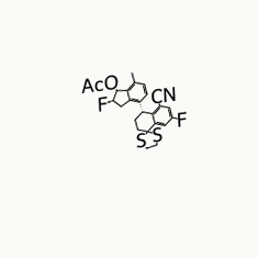 CC(=O)O[C@H]1c2c(C)ccc([C@H]3CCC4(SCCS4)c4cc(F)cc(C#N)c43)c2C[C@H]1F